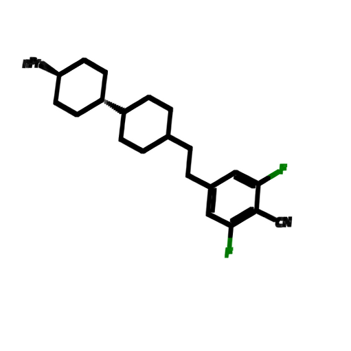 CCC[C@H]1CC[C@H](C2CCC(CCc3cc(F)c(C#N)c(F)c3)CC2)CC1